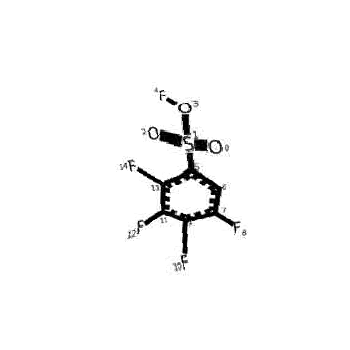 O=S(=O)(OF)c1cc(F)c(F)c(F)c1F